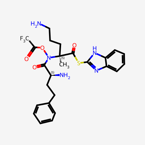 C[C@](CCCN)(C(=O)Sc1nc2ccccc2[nH]1)N(OC(=O)C(F)(F)F)C(=O)[C@@H](N)CCc1ccccc1